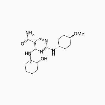 CO[C@H]1CC[C@H](Nc2ncc(C(N)=O)c(N[C@@H]3CCCCC3O)n2)CC1